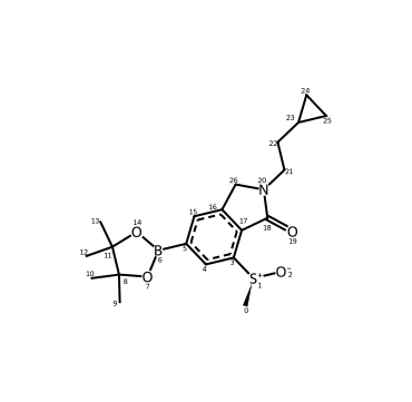 C[S@+]([O-])c1cc(B2OC(C)(C)C(C)(C)O2)cc2c1C(=O)N(CCC1CC1)C2